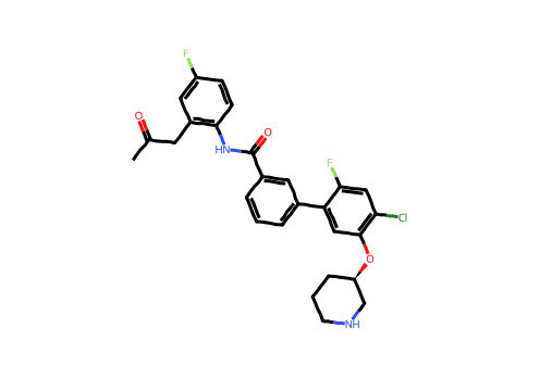 CC(=O)Cc1cc(F)ccc1NC(=O)c1cccc(-c2cc(O[C@@H]3CCCNC3)c(Cl)cc2F)c1